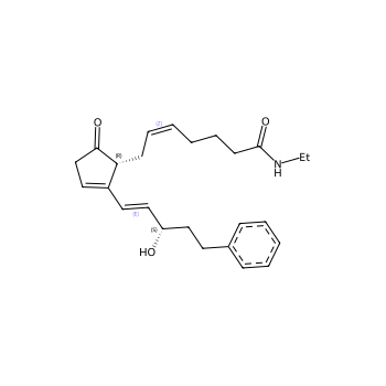 CCNC(=O)CCC/C=C\C[C@H]1C(=O)CC=C1/C=C/[C@@H](O)CCc1ccccc1